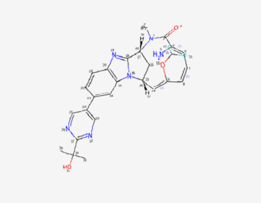 CC(C)N1C(=O)/C(N)=C/C=C\C(OC(F)F)=C\[C@H]2C[C@@H]1c1nc3ccc(-c4cnc(C(C)(C)O)nc4)cc3n12